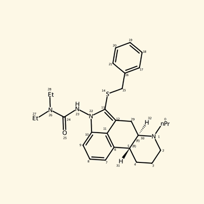 CCCN1CCC[C@@H]2c3cccc4c3c(c(SCc3ccccc3)n4NC(=O)N(CC)CC)C[C@H]21